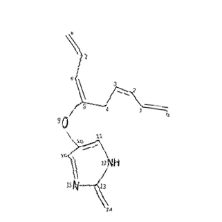 C=C/C=C\C/C(=C\C=C)OC1=CNC(=C)N=C1